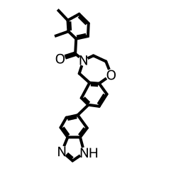 Cc1cccc(C(=O)N2CCOc3ccc(-c4ccc5nc[nH]c5c4)cc3C2)c1C